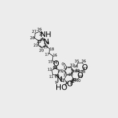 Cc1cc(C(C(=O)O)N(C)[C@H]2CC[C@H](OCCCCc3ccc4c(n3)NCCC4)C2)c2c(c1)[C@]1(CCCOC1)OC[C@H]2C